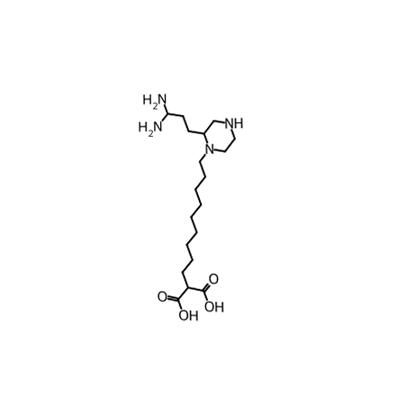 NC(N)CCC1CNCCN1CCCCCCCCCC(C(=O)O)C(=O)O